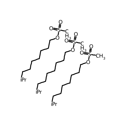 CC(C)CCCCCCCOS(C)(=O)=O.CC(C)CCCCCCCOS(C)(=O)=O.CC(C)CCCCCCCOS(C)(=O)=O